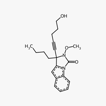 CCCCC1(C#CCCCO)c2cc3ccccc3n2C(=O)N1OC